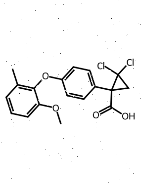 COc1cccc(C)c1Oc1ccc(C2(C(=O)O)CC2(Cl)Cl)cc1